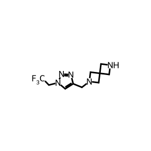 FC(F)(F)Cn1cc(CN2CC3(CNC3)C2)nn1